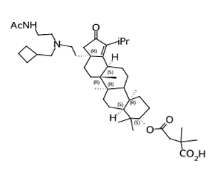 CC(=O)NCCN(CC[C@@]12CC[C@]3(C)[C@H](CCC4[C@@]5(C)CC[C@H](OC(=O)CC(C)(C)C(=O)O)C(C)(C)[C@H]5CC[C@]43C)C1=C(C(C)C)C(=O)C2)CC1CCC1